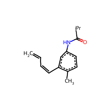 C=C/C=C\c1cc(NC(=O)C(C)C)ccc1C